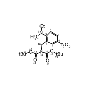 CCN(C)c1ccc([N+](=O)[O-])cc1CN(C(=O)OC(C)(C)C)C(=O)OC(C)(C)C